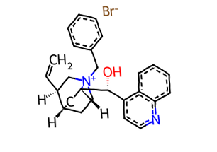 C=C[C@H]1C[N+]2(Cc3ccccc3)CC[C@H]1C[C@H]2[C@H](O)c1ccnc2ccccc12.[Br-]